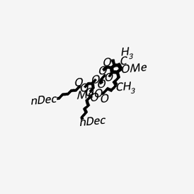 CCCCCCCCCCCCCCCC(=O)OCC(COC(=O)CCCCCCCCCCCCCCC)OC(=O)COc1c(C/C=C(\C)CCC(=O)OC)c(OC)c(C)c2c1C(=O)OC2